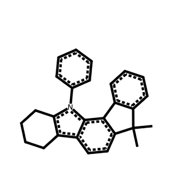 CC1(C)c2ccccc2-c2c1ccc1c3c(n(-c4ccccc4)c21)CCCC3